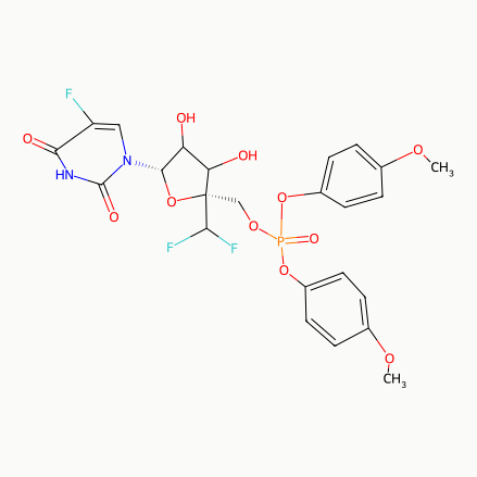 COc1ccc(OP(=O)(OC[C@]2(C(F)F)O[C@H](n3cc(F)c(=O)[nH]c3=O)C(O)C2O)Oc2ccc(OC)cc2)cc1